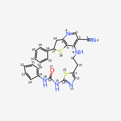 N#Cc1cnc2c(c1NCCc1cnc(NC(=O)Nc3ccccc3)s1)SC(c1ccccc1)C2